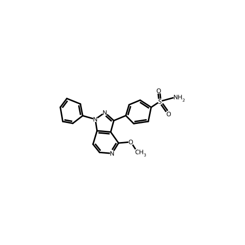 COc1nccc2c1c(-c1ccc(S(N)(=O)=O)cc1)nn2-c1ccccc1